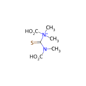 CN(C(=O)O)C(=S)[N+](C)(C)C(=O)O